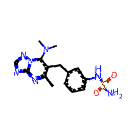 Cc1nc2ncnn2c(N(C)C)c1Cc1cccc(NS(N)(=O)=O)c1